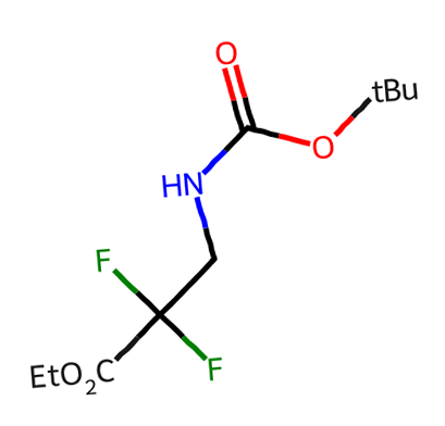 CCOC(=O)C(F)(F)CNC(=O)OC(C)(C)C